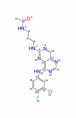 CC(=O)NCCCNc1ncc2ncnc(Nc3ccc(F)c(Cl)c3)c2n1